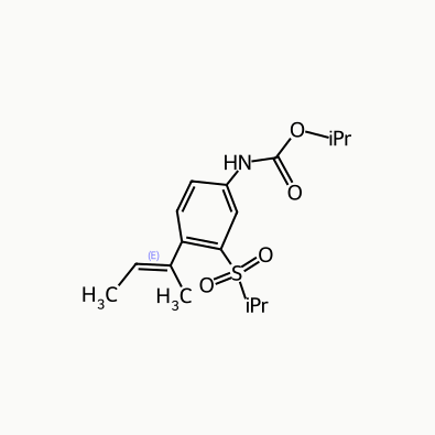 C/C=C(\C)c1ccc(NC(=O)OC(C)C)cc1S(=O)(=O)C(C)C